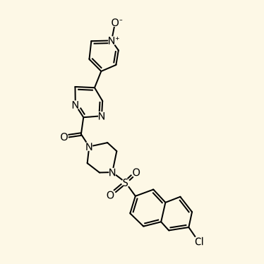 O=C(c1ncc(-c2cc[n+]([O-])cc2)cn1)N1CCN(S(=O)(=O)c2ccc3cc(Cl)ccc3c2)CC1